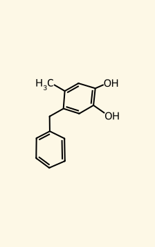 Cc1cc(O)c(O)cc1Cc1ccccc1